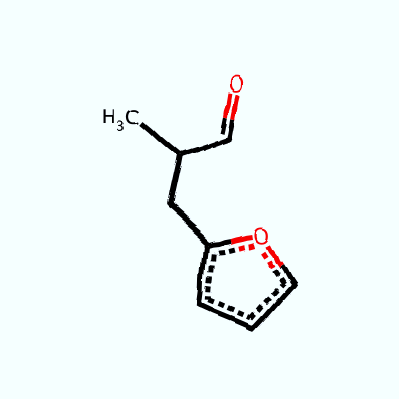 CC(C=O)Cc1ccco1